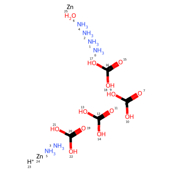 N.N.N.N.N.N.O.O=C(O)O.O=C(O)O.O=C(O)O.O=C(O)O.[H+].[Zn].[Zn]